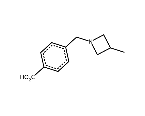 CC1CN(Cc2ccc(C(=O)O)cc2)C1